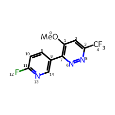 COc1cc(C(F)(F)F)nnc1-c1ccc(F)nc1